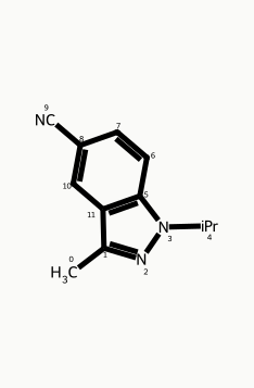 Cc1nn(C(C)C)c2ccc(C#N)cc12